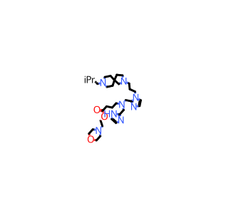 CC(C)CN1CCC2(CC1)CCN(CCCn1ccnc1CN(CCCC(=O)OCCN1CCOCC1)Cc1ncc[nH]1)C2